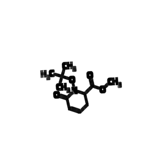 COC(=O)C1CC=CC(=O)N1OC(C)(C)C